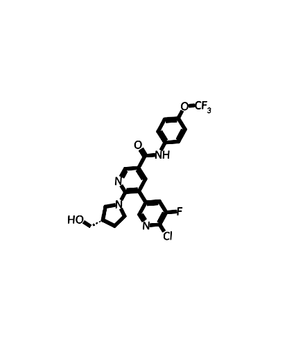 O=C(Nc1ccc(OC(F)(F)F)cc1)c1cnc(N2CC[C@H](CO)C2)c(-c2cnc(Cl)c(F)c2)c1